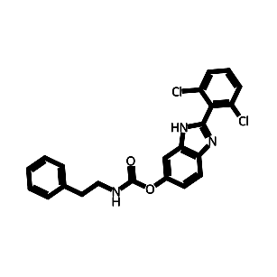 O=C(NCCc1ccccc1)Oc1ccc2nc(-c3c(Cl)cccc3Cl)[nH]c2c1